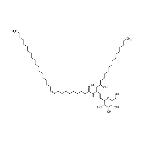 CCCCCCCCCCCCCCCCCC/C=C\CCCCCCCCC(=O)N[C@@H](/C=C/[C@H]1OC(CO)[C@H](O)C(O)[C@@H]1O)[C@H](O)[C@H](O)CCCCCCCCCCCCCC